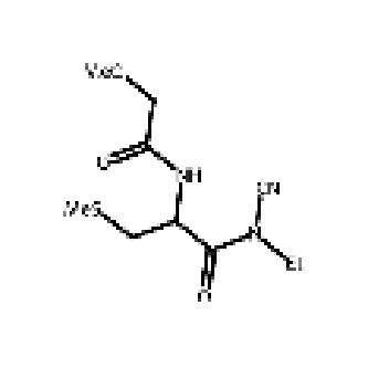 CCN(C#N)C(=O)C(CSC)NC(=O)COC